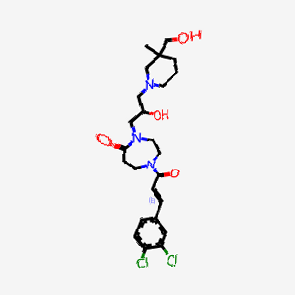 CC1(CO)CCCN(CC(O)CN2CCN(C(=O)/C=C/c3ccc(Cl)c(Cl)c3)CCC2=O)C1